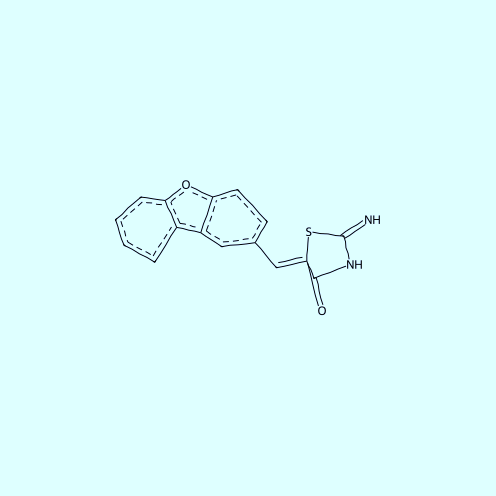 N=C1NC(=O)/C(=C/c2ccc3oc4ccccc4c3c2)S1